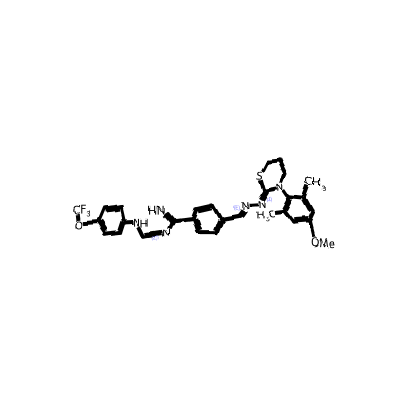 COc1cc(C)c(N2CCCS/C2=N\N=C\c2ccc(C(=N)/N=C\Nc3ccc(OC(F)(F)F)cc3)cc2)c(C)c1